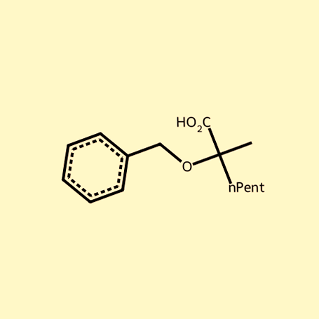 CCCCCC(C)(OCc1ccccc1)C(=O)O